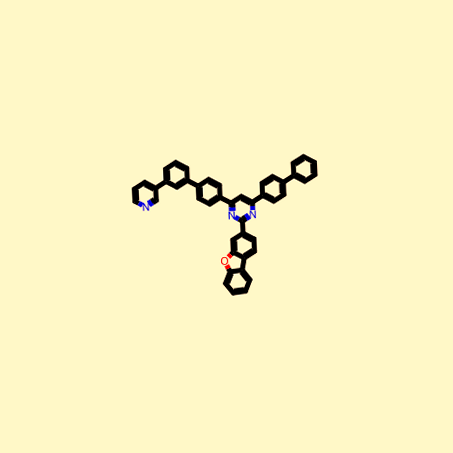 c1ccc(-c2ccc(-c3cc(-c4ccc(-c5cccc(-c6cccnc6)c5)cc4)nc(-c4ccc5c(c4)oc4ccccc45)n3)cc2)cc1